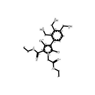 CCOC(=O)Cn1c(Cl)c(-c2ccc(CO)c(CO)c2CO)c(Cl)c1C(=O)OCC